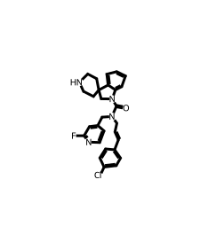 O=C(N(CC=Cc1ccc(Cl)cc1)Cc1ccnc(F)c1)N1CC2(CCNCC2)c2ccccc21